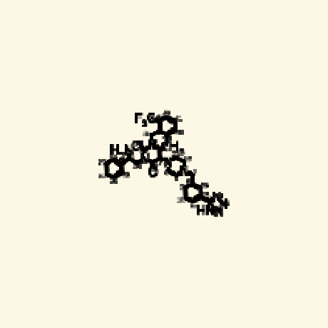 Cc1c(N2CCN(Cc3cccc(-c4nnn[nH]4)c3)CC2)c(=O)n(C[C@H](N)c2ccccc2)c(=O)n1Cc1c(F)cccc1C(F)(F)F